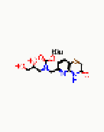 CC(C)(C)OC(=O)N(Cc1ccc2c(n1)NC(=O)CS2)CC(O)CO